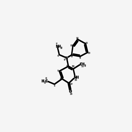 CCc1cc(N(CN)c2ccccc2)c(C)[nH]c1=O